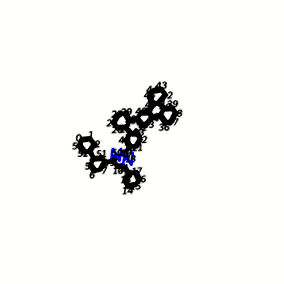 c1ccc(-c2cccc(-c3cc(-c4ccccc4)nc(-c4cccc(-c5ccccc5-c5ccc6c7ccccc7c7ccccc7c6c5)c4)n3)c2)cc1